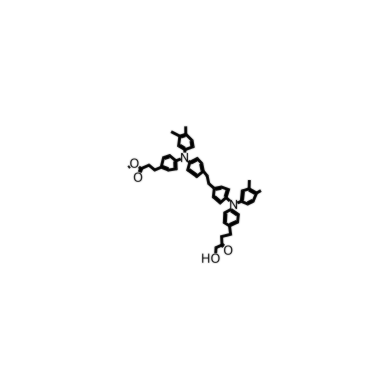 COC(=O)CCc1ccc(N(c2ccc(CCc3ccc(N(c4ccc(CCC(=O)CO)cc4)c4ccc(C)c(C)c4)cc3)cc2)c2ccc(C)c(C)c2)cc1